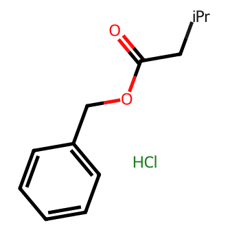 CC(C)CC(=O)OCc1ccccc1.Cl